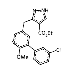 CCOC(=O)c1c[nH]nc1Cc1cnc(OC)c(-c2cccc(Cl)c2)c1